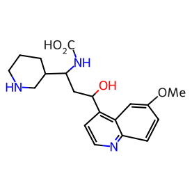 COc1ccc2nccc(C(O)CC(NC(=O)O)C3CCCNC3)c2c1